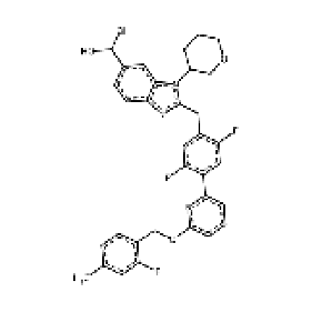 Cc1ccc(COc2cccc(-c3cc(F)c(Cc4nc5ccc(C(O)O)cc5n4C4CCCOC4)cc3F)n2)c(F)c1